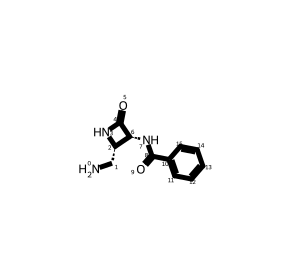 NC[C@@H]1NC(=O)[C@@H]1NC(=O)c1ccccc1